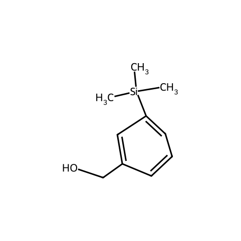 C[Si](C)(C)c1cccc(CO)c1